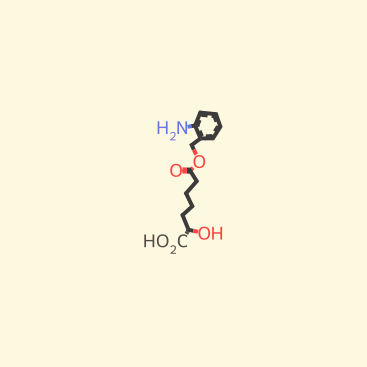 Nc1ccccc1COC(=O)CCCCC(O)C(=O)O